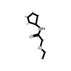 [CH2]COCC(=O)NC1CCCC1